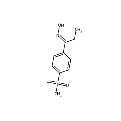 CCC(=NO)c1ccc(S(C)(=O)=O)cc1